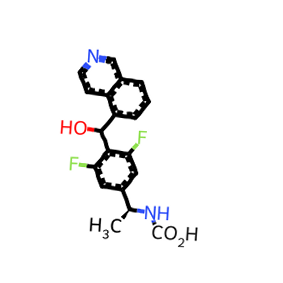 C[C@H](NC(=O)O)c1cc(F)c(C(O)c2cccc3cnccc23)c(F)c1